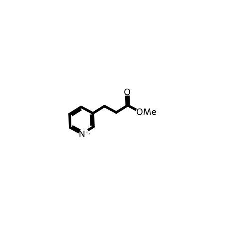 COC(=O)CCC1=C[N+]=CC=C1